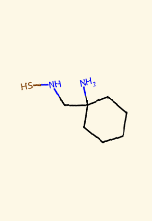 NC1(CNS)CCCCC1